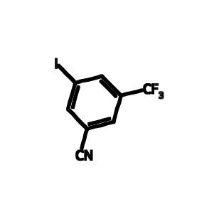 N#Cc1cc(I)cc(C(F)(F)F)c1